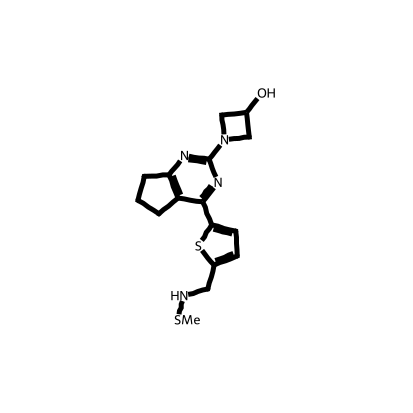 CSNCc1ccc(-c2nc(N3CC(O)C3)nc3c2CCC3)s1